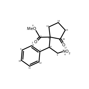 COC(=O)C1(C(C[N+](=O)[O-])c2ccccc2)CCCC1=O